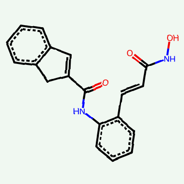 O=C(/C=C/c1ccccc1NC(=O)C1=Cc2ccccc2C1)NO